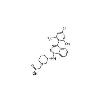 Cc1cc(Cl)cc(O)c1-c1nnc(NC2CCCN(CC(=O)O)C2)c2ccccc12